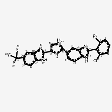 Fc1cccc(Cl)c1-c1nc2cc(-c3nc(-c4nc5cc(C(F)(F)F)ccc5[nH]4)c[nH]3)ccc2[nH]1